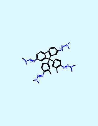 Cc1cc(C2(c3ccc(/N=N/N(C)C)c(C)c3)c3cc(/N=N/N(C)C)ccc3-c3ccc(/N=N/N(C)C)cc32)ccc1/N=N/N(C)C